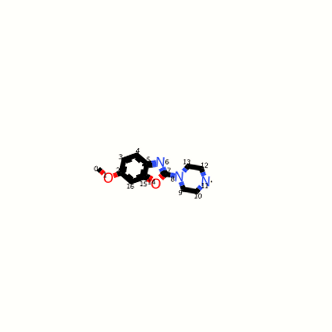 COc1ccc2nc(N3CC[N]CC3)oc2c1